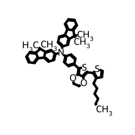 CCCCCCc1ccsc1-c1sc(-c2ccc(N(c3ccc4c(c3)C(C)(C)c3ccccc3-4)c3ccc4c(c3)C(C)(C)c3ccccc3-4)cc2)c2c1OCCO2